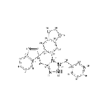 C1=Nc2ccccc2C12CC1=NNN(Cc3cccnc3)N1c1cc3c(cc12)OCO3